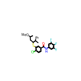 COC(C)CC(Sc1cc(C(=O)Nc2cc(F)c(F)c(F)c2)ccc1Cl)C(C)C(C)C